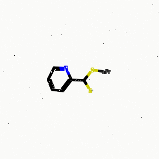 CCCSC([S])c1ccccn1